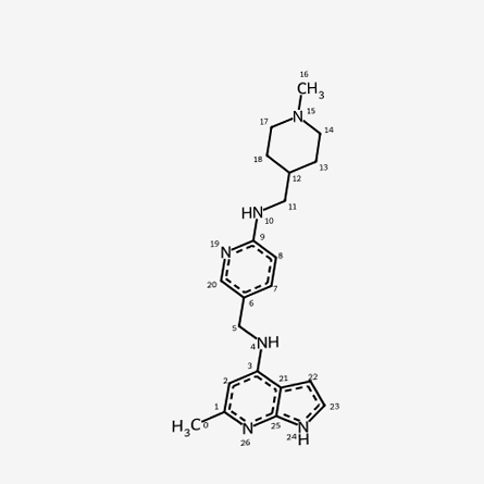 Cc1cc(NCc2ccc(NCC3CCN(C)CC3)nc2)c2cc[nH]c2n1